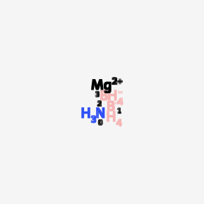 N.[BH4-].[BH4-].[Mg+2]